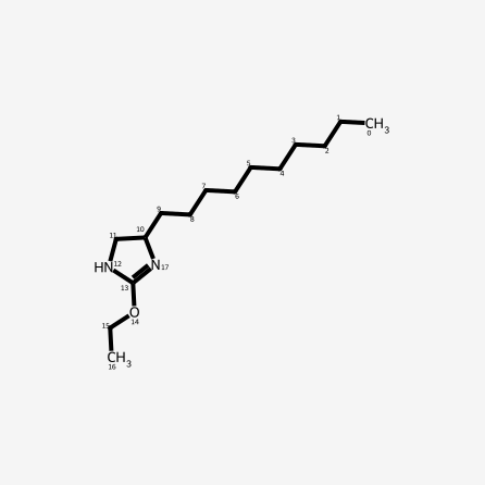 CCCCCCCCCCC1CNC(OCC)=N1